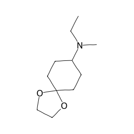 CCN(C)C1CCC2(CC1)OCCO2